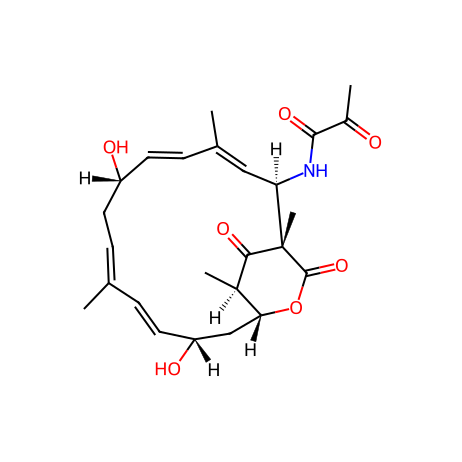 CC(=O)C(=O)N[C@@H]1/C=C(C)/C=C/[C@@H](O)C/C=C(C)/C=C/[C@@H](O)C[C@H]2OC(=O)[C@]1(C)C(=O)[C@@H]2C